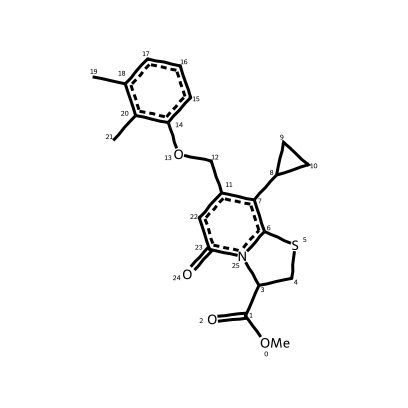 COC(=O)C1CSc2c(C3CC3)c(COc3cccc(C)c3C)cc(=O)n21